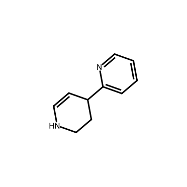 C1=CC(c2ccccn2)CCN1